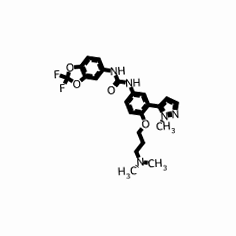 CN(C)CCCOc1ccc(NC(=O)Nc2ccc3c(c2)OC(F)(F)O3)cc1-c1ccnn1C